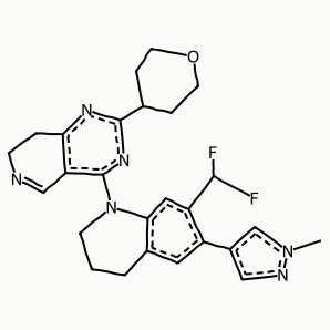 Cn1cc(-c2cc3c(cc2C(F)F)N(c2nc(C4CCOCC4)nc4c2C=NCC4)CCC3)cn1